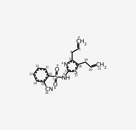 C=CCc1nc(NS(=O)(=O)c2ccccc2C#N)sc1CC=C